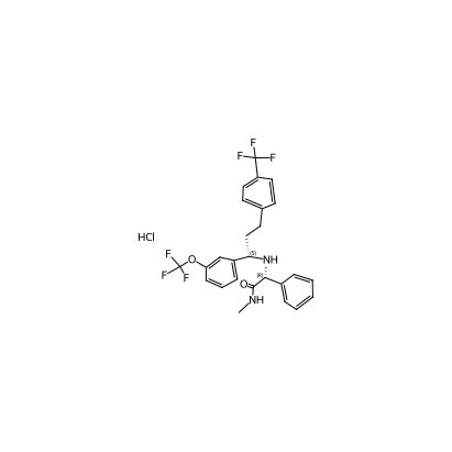 CNC(=O)[C@H](N[C@@H](CCc1ccc(C(F)(F)F)cc1)c1cccc(OC(F)(F)F)c1)c1ccccc1.Cl